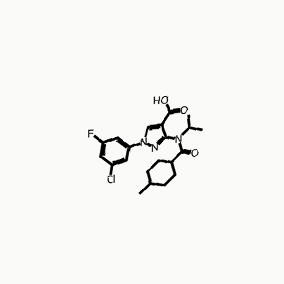 CC1CCC(C(=O)N(c2nn(-c3cc(F)cc(Cl)c3)cc2C(=O)O)C(C)C)CC1